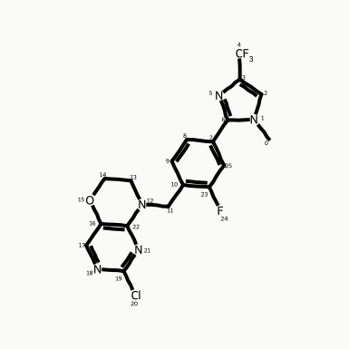 Cn1cc(C(F)(F)F)nc1-c1ccc(CN2CCOc3cnc(Cl)nc32)c(F)c1